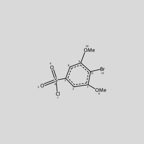 COc1cc(S(=O)(=O)Cl)cc(OC)c1Br